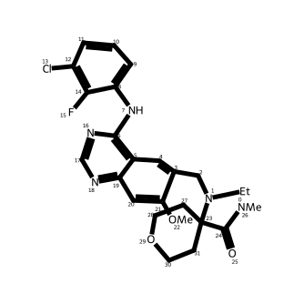 CCN(Cc1cc2c(Nc3cccc(Cl)c3F)ncnc2cc1OC)C1(C(=O)NC)CCOCC1